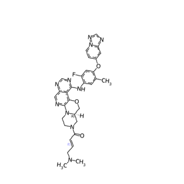 Cc1cc(Nc2ncnc3cnc4c(c23)OC[C@H]2CN(C(=O)/C=C/CN(C)C)CCN42)c(F)cc1Oc1ccn2ncnc2c1